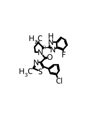 Cc1nc(C(=O)N2CC[C@H](C)[C@H]2c2nc3c(F)cccc3[nH]2)c(-c2cccc(Cl)c2)s1